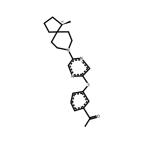 CC(=O)c1cccc(Sc2cnc(N3CCC4(CCC[C@H]4C)CC3)cn2)c1